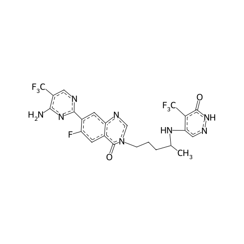 CC(CCCn1cnc2cc(-c3ncc(C(F)(F)F)c(N)n3)c(F)cc2c1=O)Nc1cn[nH]c(=O)c1C(F)(F)F